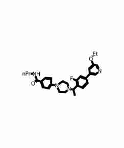 CCCNC(=O)c1ccc(N2CCN(C(C)c3ccc(-c4cncc(OCC)c4)cc3F)CC2)cc1